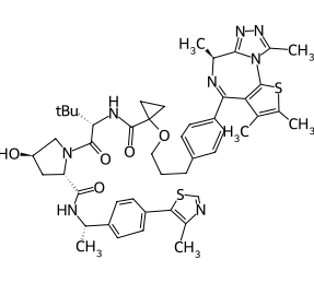 Cc1ncsc1-c1ccc([C@H](C)NC(=O)[C@@H]2C[C@@H](O)CN2C(=O)[C@@H](NC(=O)C2(OCCCc3ccc(C4=N[C@@H](C)c5nnc(C)n5-c5sc(C)c(C)c54)cc3)CC2)C(C)(C)C)cc1